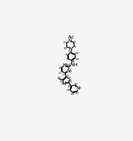 CC(=O)N1CCN(c2ccc(Nc3nccc(-c4sc(-c5cccnc5)nc4C)n3)cc2)CC1